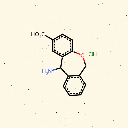 Cl.NC1c2ccccc2COc2ccc(C(=O)O)cc21